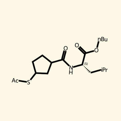 CCCCOC(=O)[C@H](CC(C)C)NC(=O)C1CCC(SC(C)=O)C1